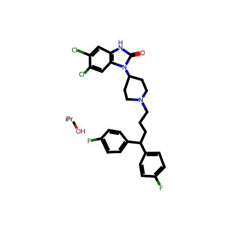 CC(C)O.O=c1[nH]c2cc(Cl)c(Cl)cc2n1C1CCN(CCCC(c2ccc(F)cc2)c2ccc(F)cc2)CC1